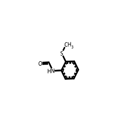 CSc1ccccc1NC=O